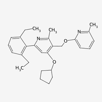 CCc1cccc(CC)c1-c1cc(OC2CCCC2)c(COc2cccc(C)n2)c(C)n1